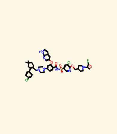 CC1(C)CCC(CN2CCN(c3ccc(C(=O)NS(=O)(=O)c4cnc(OCC5CCN(C6COC6F)CC5)c(Cl)c4)c(Oc4cnc5[nH]ccc5c4)c3)CC2)=C(c2ccc(Cl)cc2)C1